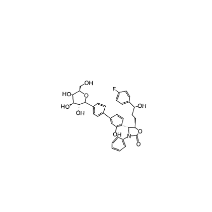 O=C1O[C@H](CCC(O)c2ccc(F)cc2)[C@@H](c2ccc(-c3ccc(C4O[C@H](CO)[C@@H](O)[C@H](O)[C@H]4O)cc3)cc2O)N1c1ccccc1